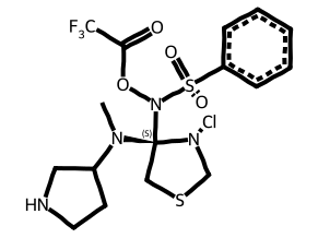 CN(C1CCNC1)[C@]1(N(OC(=O)C(F)(F)F)S(=O)(=O)c2ccccc2)CSCN1Cl